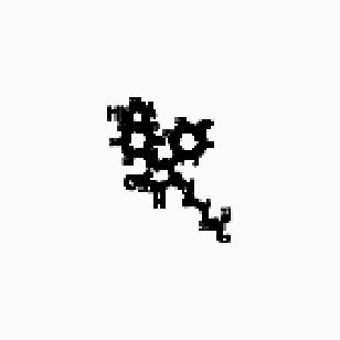 Cc1ccc(C2C(=NCCCN(C)C)NC(=O)N2c2ccc3[nH]cnc3c2)cc1